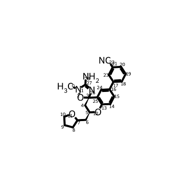 CN1O[C@]2(C[C@H](CC3CCCO3)Oc3ccc(-c4cccc(C#N)c4)cc32)N=C1N